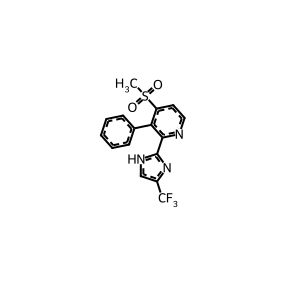 CS(=O)(=O)c1ccnc(-c2nc(C(F)(F)F)c[nH]2)c1-c1ccccc1